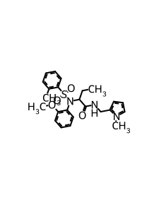 CCC(C(=O)NCc1cccn1C)N(c1ccccc1OC)S(=O)(=O)c1ccccc1C